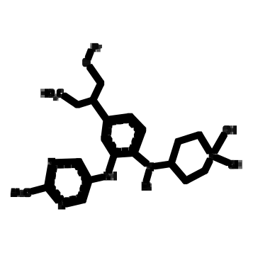 CCN(c1ccc(C(COC(C)C)CC(=O)O)cc1Nc1cnc(OC)nc1)C1CCS(O)(O)CC1